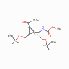 COC(=O)[C@@H]1C(CO[Si](C)(C)C(C)(C)C)[C@@H]1[C@@H](CO[Si](C)(C)C(C)(C)C)NC(=O)OC(C)(C)C